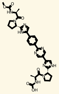 COC(=O)N[C@@H](C)C(=O)N1CCC[C@H]1c1ncc(-c2ccc(-c3ncc(-c4c[nH]c([C@@H]5CCCN5C(=O)[C@H](C)NC(=O)O)n4)cn3)cc2)[nH]1